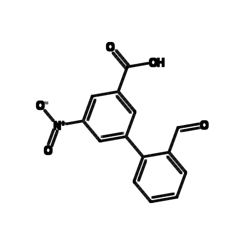 O=Cc1ccccc1-c1cc(C(=O)O)cc([N+](=O)[O-])c1